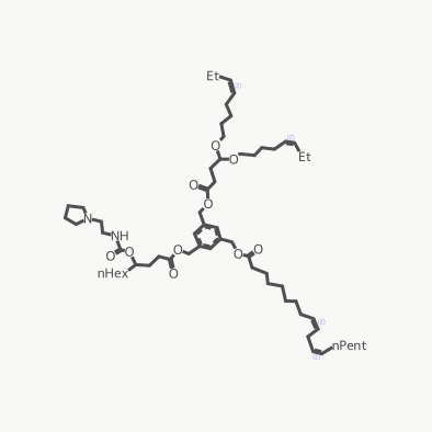 CC/C=C\CCCCOC(CCC(=O)OCc1cc(COC(=O)CCCCCCC/C=C\C/C=C\CCCCC)cc(COC(=O)CCC(CCCCCC)OC(=O)NCCN2CCCC2)c1)OCCCC/C=C\CC